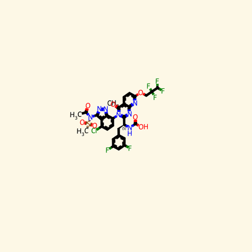 CC(=O)N(c1nn(C)c2c(-n3c([C@H](Cc4cc(F)cc(F)c4)NC(=O)O)nc4nc(OCC(F)(F)C(F)F)ccc4c3=O)ccc(Cl)c12)S(C)(=O)=O